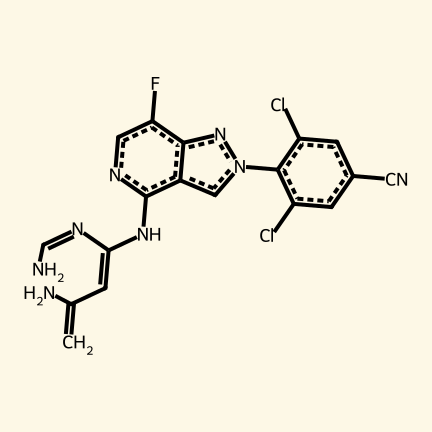 C=C(N)/C=C(\N=C/N)Nc1ncc(F)c2nn(-c3c(Cl)cc(C#N)cc3Cl)cc12